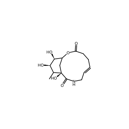 CC1[C@@H](O)[C@@H](O)C2C[C@]1(O)C(=O)NC/C=C/CCC(=O)O2